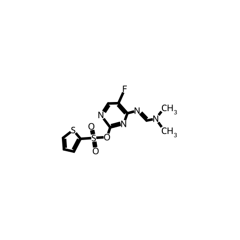 CN(C)/C=N/c1nc(OS(=O)(=O)c2cccs2)ncc1F